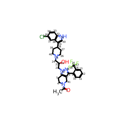 CC(=O)N1CCc2c(c(-c3ccccc3C(F)(F)F)nn2CC(O)CN2CCC(c3c[nH]c4ccc(Cl)cc34)CC2)C1